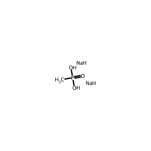 CP(=O)(O)O.[NaH].[NaH]